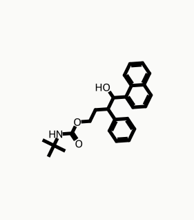 CC(C)(C)NC(=O)OCCC(c1ccccc1)C(O)c1cccc2ccccc12